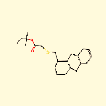 CCC(C)(C)OC(=O)CSCC1CCCC2CC3CC=CCC3CC12